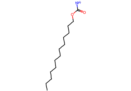 CCCCCCCCCCCCCOC([NH])=O